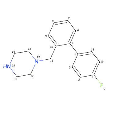 Fc1ccc(-c2ccccc2CN2CCNCC2)cc1